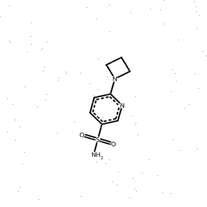 NS(=O)(=O)c1ccc(N2CCC2)nc1